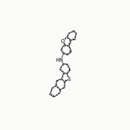 c1ccc2cc3c(cc2c1)sc1ccc(Nc2ccc4c(c2)oc2ccccc24)cc13